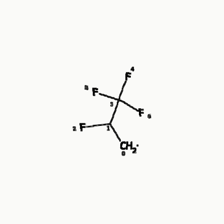 [CH2]C(F)C(F)(F)F